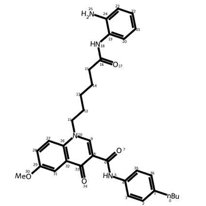 CCCCc1ccc(NC(=O)c2cn(CCCCCC(=O)Nc3ccccc3N)c3ccc(OC)cc3c2=O)cc1